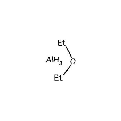 CCOCC.[AlH3]